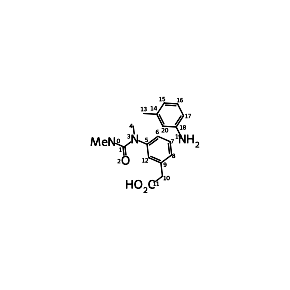 CNC(=O)N(C)c1cccc(CC(=O)O)c1.Cc1cccc(N)c1